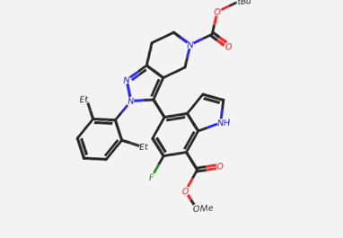 CCc1cccc(CC)c1-n1nc2c(c1-c1cc(F)c(C(=O)OOC)c3[nH]ccc13)CN(C(=O)OC(C)(C)C)CC2